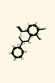 [CH]=Cc1ccc(C)c(C)c1CC(C)c1ccccc1